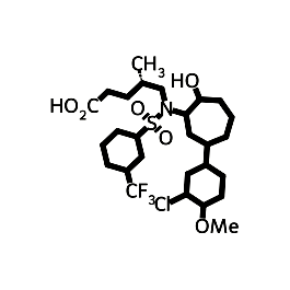 COC1CCC(C2CCCC(O)C(N(C[C@@H](C)CCC(=O)O)S(=O)(=O)C3CCCC(C(F)(F)F)C3)C2)CC1Cl